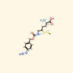 CSSC(CC[C@H](N)C(=O)O)CNC(=O)OCc1ccc(N=[N+]=[N-])cc1